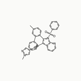 Cc1ccc(-c2c(C#Cc3cnn(C)c3)c3cccnc3n2S(=O)(=O)c2ccccc2)c(-c2ccccc2)c1